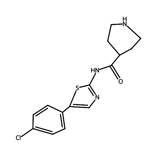 O=C(Nc1ncc(-c2ccc(Cl)cc2)s1)C1CCNCC1